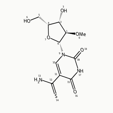 CO[C@@H]1[C@@H](O)[C@@H](CO)O[C@H]1n1cc(C(N)=S)c(=O)[nH]c1=O